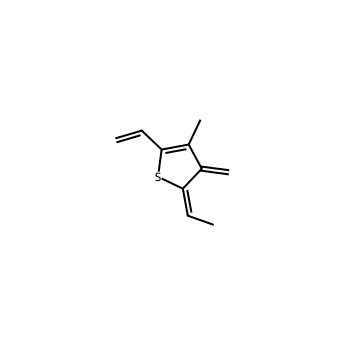 C=Cc1s/c(=C/C)c(=C)c1C